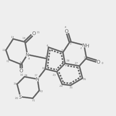 O=C1NC(=O)c2cc(N3C(=O)CCCC3=O)c(N3CCSCC3)c3cccc1c23